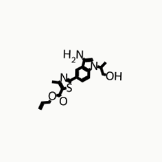 C=CCOC(=O)c1sc(-c2ccc3c(c2)c(N)cn3C(C)CO)nc1C